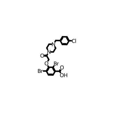 O=C(O)c1ccc(Br)c(OCC(=O)N2CCN(Cc3ccc(Cl)cc3)CC2)c1Br